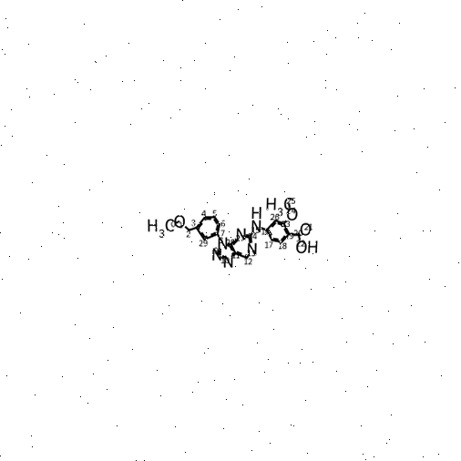 COCc1cccc(-n2nnc3cnc(Nc4ccc(C(=O)O)c(OC)c4)nc32)c1